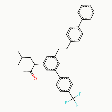 CC(=O)C(CC(C)C)c1cc(CCc2ccc(-c3ccccc3)cc2)cc(-c2ccc(C(F)(F)F)cc2)c1